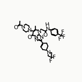 CC(=O)N1CCN(c2c(C)n(CC(=O)Nc3ccc(C(F)(F)F)cc3)c3nc(C4=CCC(N5CC(F)(F)C5)CC4)nn3c2=O)CC1